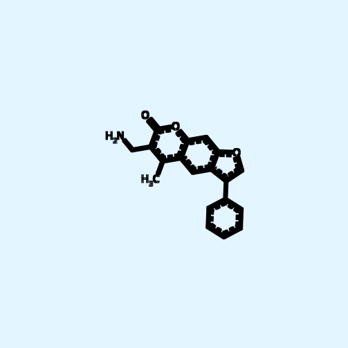 Cc1c(CN)c(=O)oc2cc3occ(-c4ccccc4)c3cc12